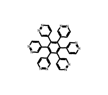 c1cc(-c2c(-c3ccnnc3)c(-c3ccnnc3)c(-c3ccnnc3)c(-c3ccnnc3)c2-c2ccnnc2)cnn1